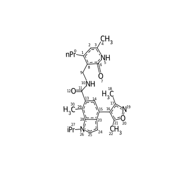 CCCc1cc(C)[nH]c(=O)c1CNC(=O)c1cc(-c2c(C)noc2C)c2ccn(C(C)C)c2c1C